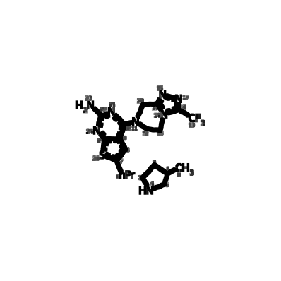 CC1CCNC1.CCCc1cc2c(N3CCn4c(nnc4C(F)(F)F)C3)nc(N)nc2s1